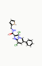 O=C(NCc1cccs1)c1nc2c(Cl)cc(-c3ccccc3)cn2c1Br